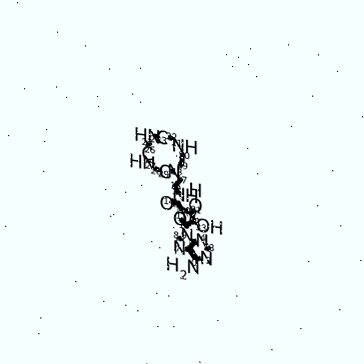 Nc1ncnc2c1ncn2C1OC(C(=O)NCCN2CCNCCNCCNCC2)[C@@H](O)[C@H]1O